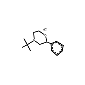 CC(C)(C)N1CCOC(c2ccccc2)C1.Cl